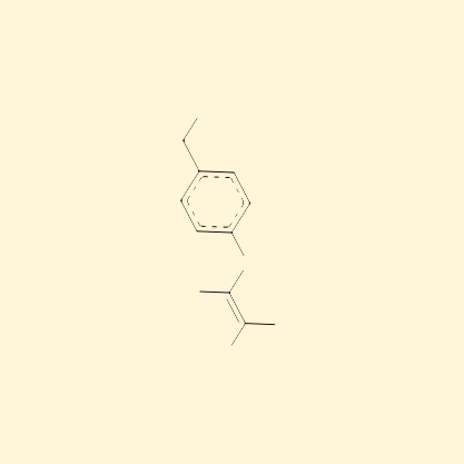 FC(F)=C(F)Oc1ccc(CBr)cc1